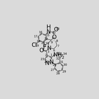 Nc1c(C(=O)N2CCC[C@@]3(C2)OC(=O)Nc2ccc(Cl)c(F)c23)cnn1-c1ccccc1C1CC1